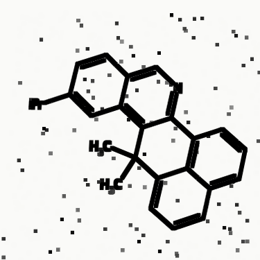 CC(C)c1ccc2cnc3c(c2c1)C(C)(C)c1cccc2cccc-3c12